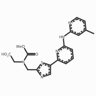 COC(=O)N(CC(=O)O)Cc1ncc(-c2cccc(Nc3cc(C)ccn3)n2)s1